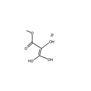 COC(=O)C(O)=C(O)O.[Zr]